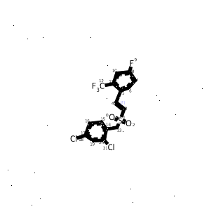 O=S(=O)(/C=C/c1ccc(F)cc1C(F)(F)F)Cc1ccc(Cl)cc1Cl